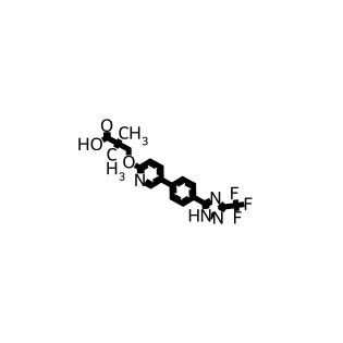 CC(C)(COc1ccc(-c2ccc(-c3nc(C(F)(F)F)n[nH]3)cc2)cn1)C(=O)O